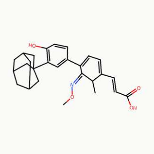 CON=C1C(c2ccc(O)c(C34CC5CC(CC(C5)C3)C4)c2)=CC=C(C=CC(=O)O)C1C